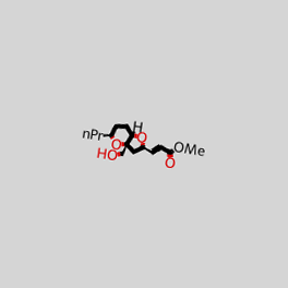 CCC[C@H]1CC[C@@H]2O[C@@H](/C=C/C(=O)OC)C[C@]2(CO)O1